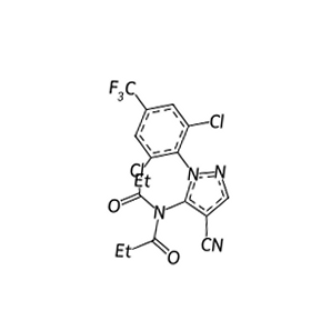 CCC(=O)N(C(=O)CC)c1c(C#N)cnn1-c1c(Cl)cc(C(F)(F)F)cc1Cl